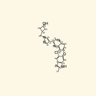 Cc1nc2ccc(Oc3ccc4ncc(-c5cnn(CC6CC(O)C6)c5)nc4c3Cl)cc2[nH]1